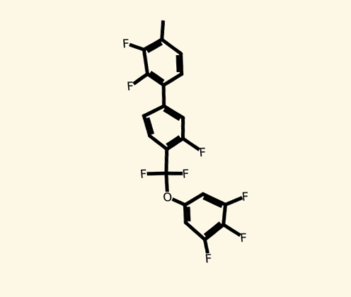 Cc1ccc(-c2ccc(C(F)(F)Oc3cc(F)c(F)c(F)c3)c(F)c2)c(F)c1F